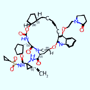 C=C[C@@H]1C[C@]1(NC(=O)[C@@H]1C[C@@H]2CN1C(=O)[C@H](C1CCCC1)NC(=O)O[C@@H]1CCC[C@H]1CCC=CCc1c(nc3ccccc3c1OCCN1CCCC1=O)O2)C(=O)NS(=O)(=O)C1CC1